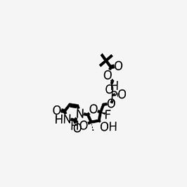 CC(C)(C)C(=O)OCO[PH](=O)OC[C@@]1(F)OC(n2ccc(=O)[nH]c2=O)[C@](C)(O)[C@@H]1O